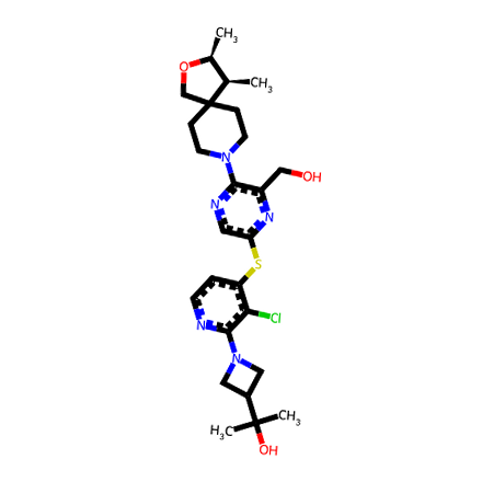 C[C@@H]1OCC2(CCN(c3ncc(Sc4ccnc(N5CC(C(C)(C)O)C5)c4Cl)nc3CO)CC2)[C@@H]1C